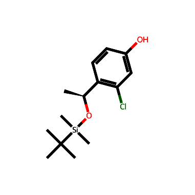 C[C@H](O[Si](C)(C)C(C)(C)C)c1ccc(O)cc1Cl